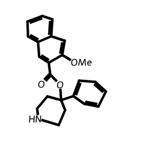 COc1cc2ccccc2cc1C(=O)OC1(c2ccccc2)CCNCC1